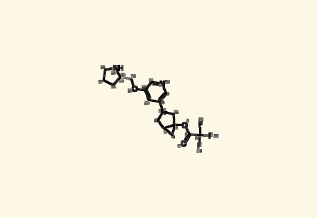 O=C(OC12CC1CN(c1cncc(OC[C@@H]3CCCN3)c1)C2)C(F)(F)F